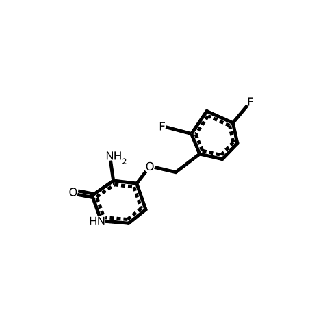 Nc1c(OCc2ccc(F)cc2F)cc[nH]c1=O